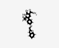 NC(=O)c1cc(-c2ccc(OCC3Cc4ccccc4O3)cc2)c(C(F)(F)F)[nH]c1=O